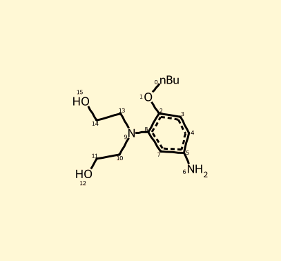 CCCCOc1ccc(N)cc1N(CCO)CCO